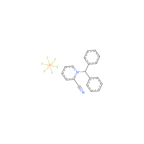 F[P-](F)(F)(F)(F)F.N#Cc1cccc[n+]1C(c1ccccc1)c1ccccc1